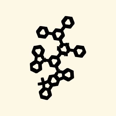 CC1(C)c2ccccc2-c2cc3c4ccccc4n(-c4cc(-c5nc(-c6ccccc6)nc(-c6cc(-c7ccccc7)cc(-c7ccccc7)c6)n5)cc(-n5c6ccccc6c6ccccc65)c4)c3cc21